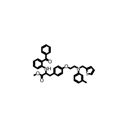 COC(=O)C(Cc1ccc(OCCN(Cc2cccs2)c2cccc(C)c2)cc1)Nc1ccccc1C(=O)c1ccccc1